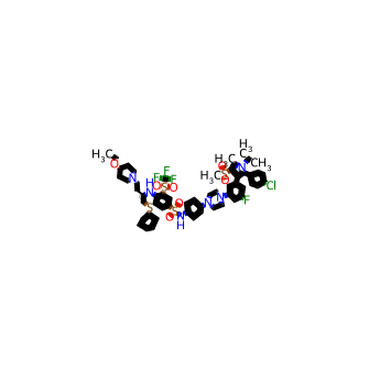 CCOC1CCN(CC[C@H](CSc2ccccc2)Nc2ccc(S(=O)(=O)Nc3ccc(N4CCN(c5cc(F)cc(-c6c(S(C)(=O)=O)c(C)n(C(C)C)c6-c6ccc(Cl)cc6)c5)CC4)cc3)cc2S(=O)(=O)C(F)(F)F)CC1